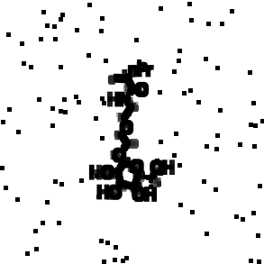 C=C(CCC)C(=O)NCCOCCO[C@H]1O[C@H](CO)[C@@H](O)[C@H](O)[C@@H]1O